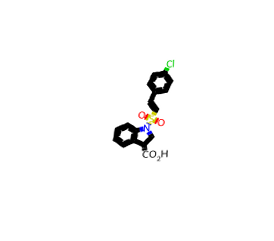 O=C(O)C1CN(S(=O)(=O)/C=C/c2ccc(Cl)cc2)c2ccccc21